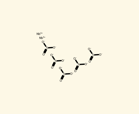 [Nb+5].[Nb+5].[O]=[Ti]([O-])[O-].[O]=[Ti]([O-])[O-].[O]=[Ti]([O-])[O-].[O]=[Ti]([O-])[O-].[O]=[Ti]([O-])[O-]